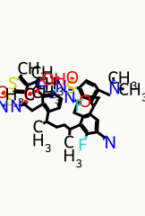 Cc1sc(S(N)(=O)=NC(=O)Cc2c(C(C)CCC(C)c3c(F)c(C#N)cc(C4CC4)c3CC(=O)N=S(N)(=O)c3ccc(CN(C)C)cc3F)ccc(F)c2C(C)C)cc1C(C)(C)O